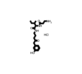 CCC(C)C(NC(=O)CCN)C(=O)NCCCC(=O)Cc1cccc(O)c1.Cl